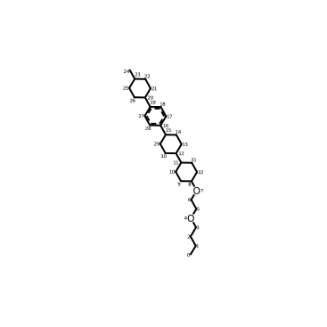 CCCCOCCOC1CCC(C2CCC(c3ccc(C4CCC(C)CC4)cc3)CC2)CC1